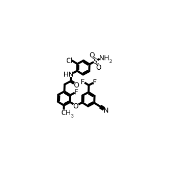 Cc1ccc(CC(=O)Nc2ccc(S(N)(=O)=O)cc2Cl)c(F)c1Oc1cc(C#N)cc(C(F)F)c1